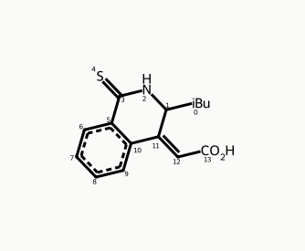 CCC(C)C1NC(=S)c2ccccc2/C1=C/C(=O)O